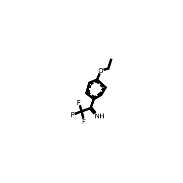 CCOc1ccc(C(=N)C(F)(F)F)cc1